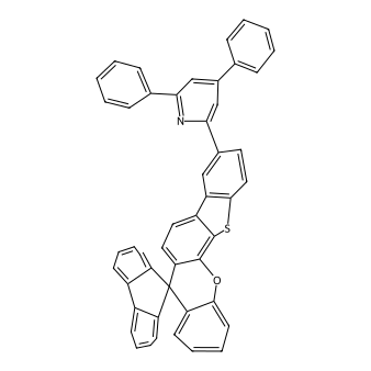 c1ccc(-c2cc(-c3ccccc3)nc(-c3ccc4sc5c6c(ccc5c4c3)C3(c4ccccc4O6)c4ccccc4-c4ccccc43)c2)cc1